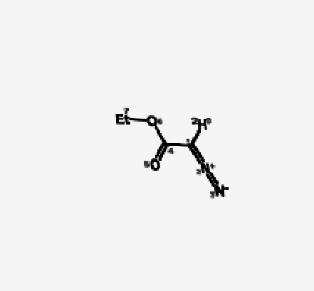 [2H]C(=[N+]=[N-])C(=O)OCC